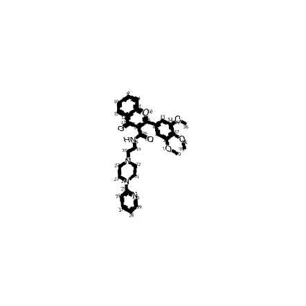 COc1cc(-c2oc3ccccc3c(=O)c2C(=O)NCCN2CCN(c3ccccn3)CC2)cc(OC)c1OC